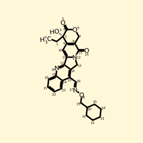 CC[C@@]1(O)C(=O)OCc2c1cc1n(c2=O)Cc2c-1nc1ccccc1c2C=NOCC1CCCCC1